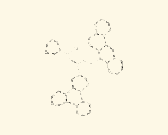 NC(/C=C(\NCc1c2ccccc2cc2c1ccc1ccccc12)c1ccc2c3ccccc3c3ccccc3c2c1)c1ccccc1